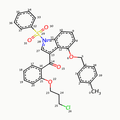 Cc1ccc(COc2cccc3c2c(C(=O)c2ccccc2OCCCCl)cn3S(=O)(=O)c2ccccc2)cc1